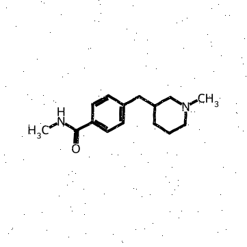 CNC(=O)c1ccc(CC2CCCN(C)C2)cc1